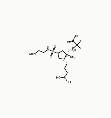 CNCCNS(=O)(=O)N1C[C@@H](CCCB(O)O)[C@@](N)(C(=O)O)C1.O=C(O)C(F)(F)F